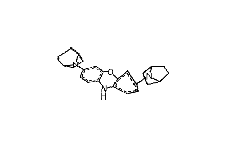 c1cc2c(cc1N1C3CCC1CC3)Oc1cc(N3C4CCC3CC4)ccc1N2